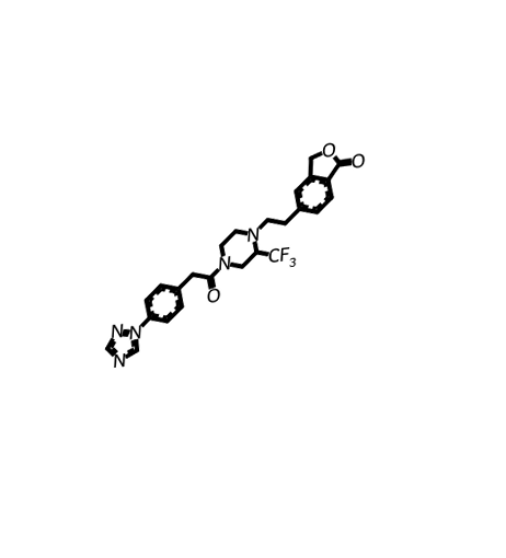 O=C1OCc2cc(CCN3CCN(C(=O)Cc4ccc(-n5cncn5)cc4)CC3C(F)(F)F)ccc21